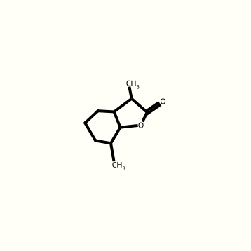 CC1CCCC2C(C)C(=O)OC12